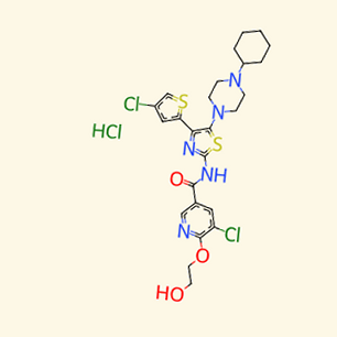 Cl.O=C(Nc1nc(-c2cc(Cl)cs2)c(N2CCN(C3CCCCC3)CC2)s1)c1cnc(OCCO)c(Cl)c1